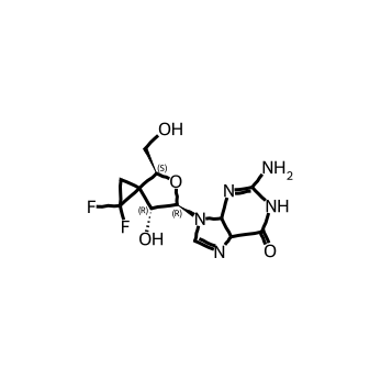 NC1=NC2C(N=CN2[C@@H]2O[C@H](CO)C3(CC3(F)F)[C@H]2O)C(=O)N1